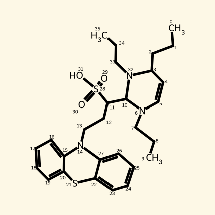 CCCC1C=CN(CCC)C(C(CCN2c3ccccc3Sc3ccccc32)S(=O)(=O)O)N1CCC